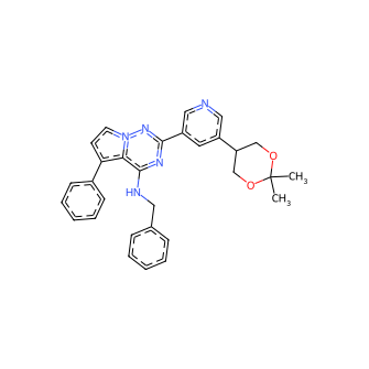 CC1(C)OCC(c2cncc(-c3nc(NCc4ccccc4)c4c(-c5ccccc5)ccn4n3)c2)CO1